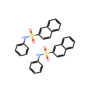 O=S(=O)(Nc1ccccc1)c1ccc2ccccc2c1.O=S(=O)(Nc1ccccc1)c1ccc2ccccc2c1